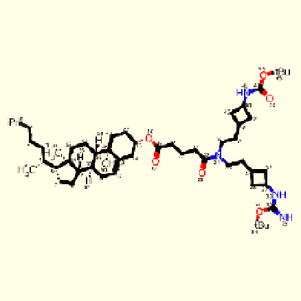 CC(C)CCC[C@@H](C)[C@H]1CC[C@H]2[C@@H]3CC=C4C[C@@H](OC(=O)CCCC(=O)N(CCC5CC(NC(=N)OC(C)(C)C)C5)CCC5CC(NC(=O)OC(C)(C)C)C5)CC[C@]4(C)[C@H]3CC[C@]12C